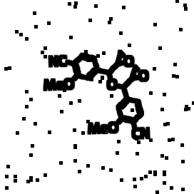 COc1cc(C(OC(c2ccc(C#N)c(OC)c2)C2CO2)C2CO2)ccc1C#N